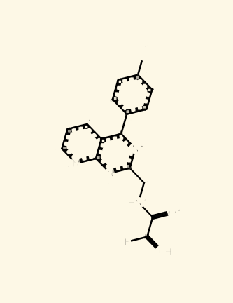 C=C(F)C(=O)NCc1nc(-c2ccc(C(F)(F)F)cc2)c2cccnc2n1